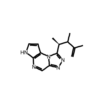 C=C(C)C(C)[C@H](C)c1nnc2cnc3[nH]ccc3n12